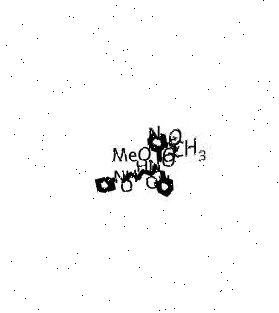 COc1cncc(S(C)(=O)=O)c1C(=O)N[C@@H](Cc1ccccc1)[C@@H](O)CCCC(=O)NC1CC2CCC1C2